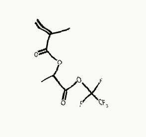 C=C(C)C(=O)OC(C)C(=O)OC(F)(F)C(F)(F)F